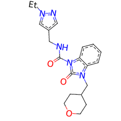 CCn1cc(CNC(=O)n2c(=O)n(CC3CCOCC3)c3ccccc32)cn1